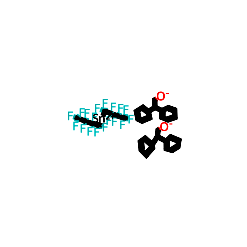 FC(F)(F)C(F)(F)C(F)(F)[C](F)(F)[Sn+2][C](F)(F)C(F)(F)C(F)(F)C(F)(F)F.[O-]CC(c1ccccc1)c1ccccc1.[O-]CC(c1ccccc1)c1ccccc1